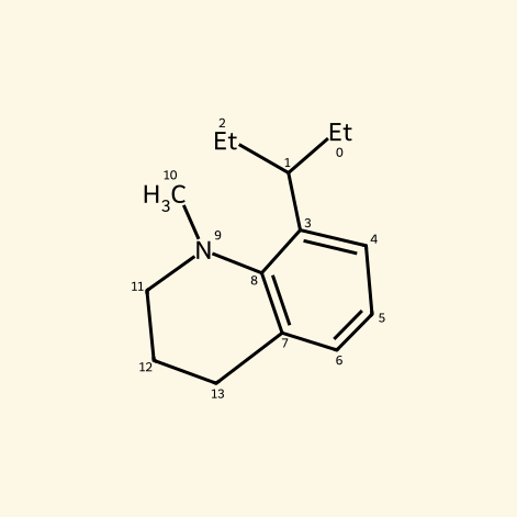 CCC(CC)c1cccc2c1N(C)CCC2